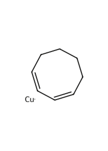 C1=CCCCCC=C1.[Cu]